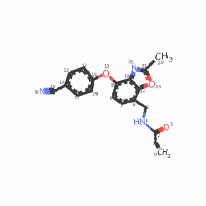 C=CC(=O)NCc1ccc(Oc2ccc(C#N)cc2)c2nc(C)oc12